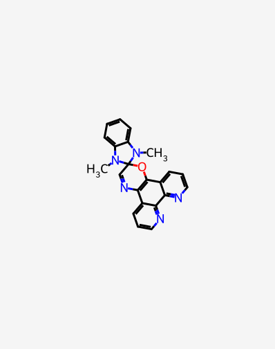 CN1c2ccccc2N(C)C12C=Nc1c(c3cccnc3c3ncccc13)O2